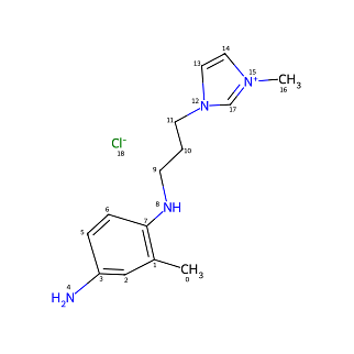 Cc1cc(N)ccc1NCCCn1cc[n+](C)c1.[Cl-]